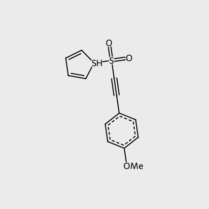 COc1ccc(C#CS(=O)(=O)[SH]2C=CC=C2)cc1